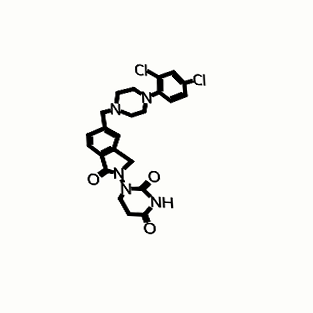 O=C1CCN(N2Cc3cc(CN4CCN(c5ccc(Cl)cc5Cl)CC4)ccc3C2=O)C(=O)N1